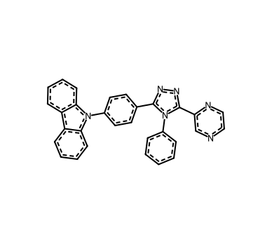 c1ccc(-n2c(-c3ccc(-n4c5ccccc5c5ccccc54)cc3)nnc2-c2cnccn2)cc1